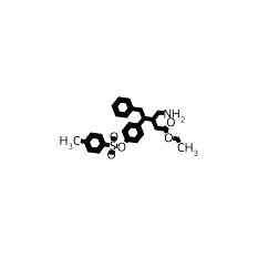 CCOC(=O)CC(CN)C(Cc1ccccc1)c1ccc(OS(=O)(=O)c2ccc(C)cc2)cc1